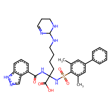 Cc1cc(-c2ccccc2)cc(C)c1S(=O)(=O)NC(CCCCNC1N=CCCN1)(NC(=O)c1cccc2[nH]ncc12)C(=O)O